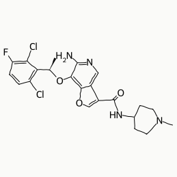 C[C@@H](Oc1c(N)ncc2c(C(=O)NC3CCN(C)CC3)coc12)c1c(Cl)ccc(F)c1Cl